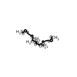 CC(=O)c1cccc(OCC#Cc2ccc(C(N)C[C@@H](C)COC(=O)C(=O)OC[C@H](C)CC(N)c3ccc(C#CCOc4cccc(C(C)=O)c4)s3)s2)c1